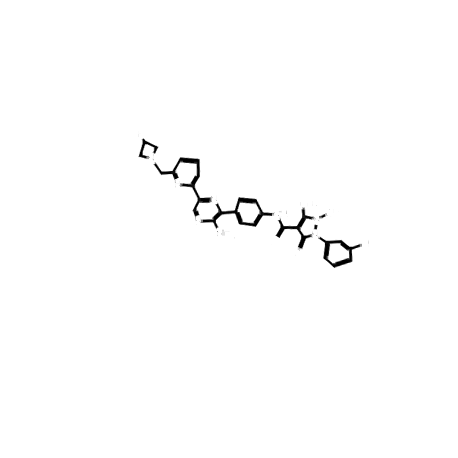 Cc1c(C(=O)Nc2ccc(-c3nc(-c4cccc(CN5CC(F)C5)n4)cnc3N)cc2)c(=O)n(-c2cccc(Cl)c2)n1C